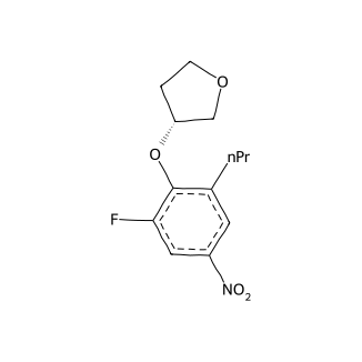 CCCc1cc([N+](=O)[O-])cc(F)c1O[C@@H]1CCOC1